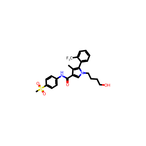 Cc1c(C(=O)Nc2ccc(S(C)(=O)=O)cc2)cn(CCCCO)c1-c1ccccc1C(F)(F)F